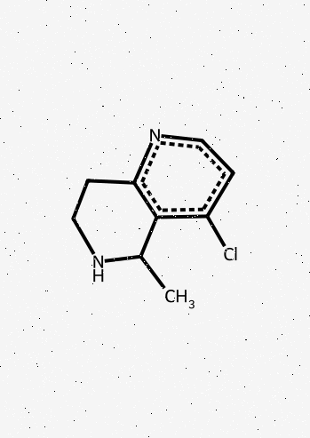 CC1NCCc2nccc(Cl)c21